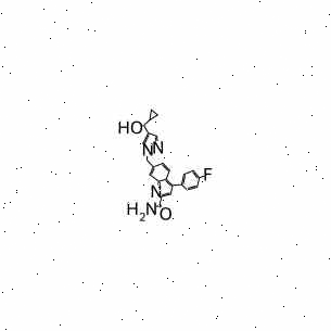 NC(=O)c1cc(-c2ccc(F)cc2)c2ccc(Cn3cc(C(O)C4CC4)cn3)cc2n1